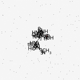 C/C(=C\C(=O)N[C@H]1CCc2cccc3c2N(C1=O)[C@H](C(=O)N[C@@H](CCC(N)=O)[C@@H](C)OCc1ccc(CCCCC(=O)N[C@H](C(=O)N2C[C@@H](O)C[C@H]2C(=O)NCc2ccc(-c4scnc4C)cc2)C(C)(C)C)cc1)C3)c1ccc(C(F)(F)P(=O)(O)O)cc1